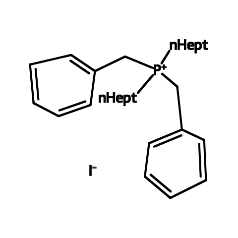 CCCCCCC[P+](CCCCCCC)(Cc1ccccc1)Cc1ccccc1.[I-]